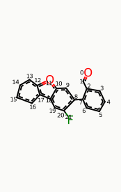 O=Cc1ccccc1-c1cc2oc3ccccc3c2cc1F